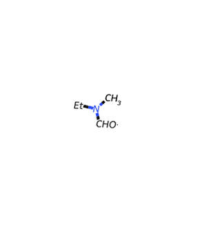 [CH2]CN(C)[C]=O